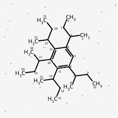 CCC(C)c1[c]c(C(C)CC)c(C(C)CC)c(C(C)CC)c1C(C)CC